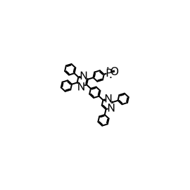 CP(C)(=O)c1ccc(-c2nc(-c3ccccc3)c(-c3ccccc3)nc2-c2ccc(-c3cc(-c4ccccc4)nc(-c4ccccc4)n3)cc2)cc1